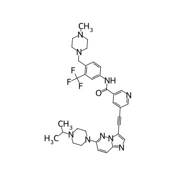 CC(C)N1CCN(c2ccc3ncc(C#Cc4cncc(C(=O)Nc5ccc(CN6CCN(C)CC6)c(C(F)(F)F)c5)c4)n3n2)CC1